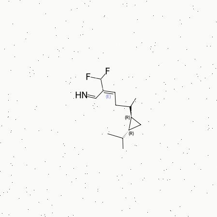 CC(C)[C@H]1C[C@@H]1C(C)C/C=C(\C=N)C(F)F